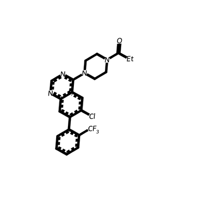 CCC(=O)N1CCN(c2ncnc3cc(-c4ccccc4C(F)(F)F)c(Cl)cc23)CC1